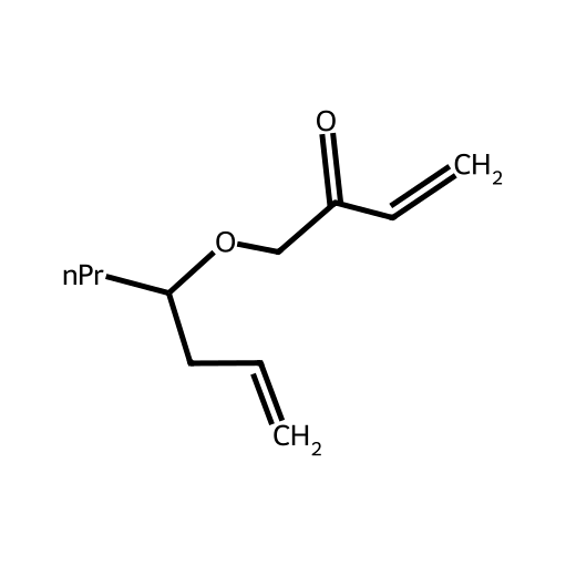 C=CCC(CCC)OCC(=O)C=C